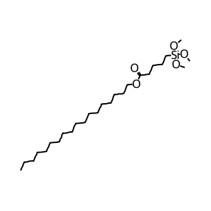 CCCCCCCCCCCCCCCCCCOC(=O)CCCC[Si](OC)(OC)OC